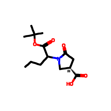 CCCC(C(=O)OC(C)(C)C)N1C[C@@H](C(=O)O)CC1=O